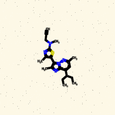 C#CCN(C)c1nc(C)c(-c2c(C)nc3c(C(CC)CC)cc(C)nn23)s1